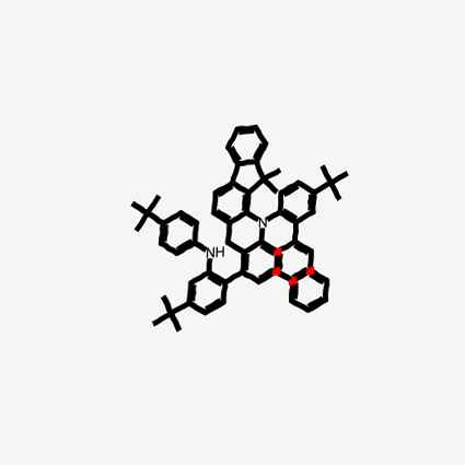 CC(C)(C)c1ccc(Nc2cc(C(C)(C)C)ccc2-c2cc(-c3ccccc3)cc3c2Cc2ccc4c(c2N3c2ccc(C(C)(C)C)cc2-c2ccccc2)C(C)(C)c2ccccc2-4)cc1